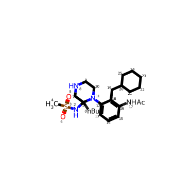 CCCCC1(NS(C)(=O)=O)CNCCN1c1cccc(NC(C)=O)c1CC1CCCCC1